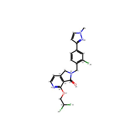 Cn1ccc(-c2ccc(CN3Cc4ccnc(OCC(F)F)c4C3=O)c(F)c2)n1